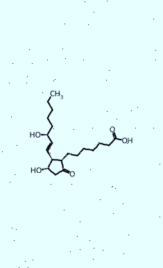 CCCCC[C@H](O)/C=C/[C@@H]1[C@H](O)CC(=O)[C@@H]1CCCCCCC(=O)O